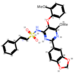 COc1ccccc1Oc1c(NS(=O)(=O)/C=C/c2ccccc2)nc(-c2ccc3c(c2)OCO3)nc1OC